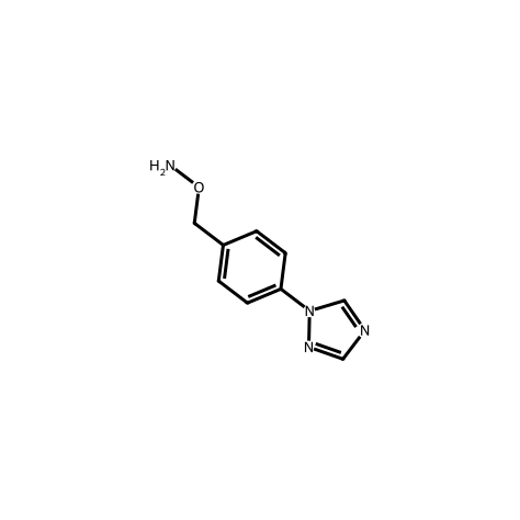 NOCc1ccc(-n2cncn2)cc1